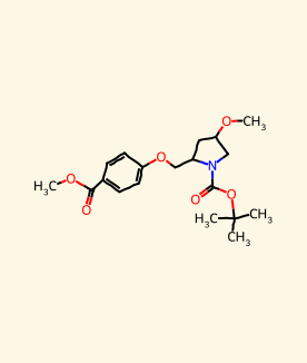 COC(=O)c1ccc(OCC2CC(OC)CN2C(=O)OC(C)(C)C)cc1